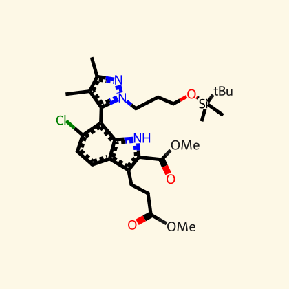 COC(=O)CCc1c(C(=O)OC)[nH]c2c(-c3c(C)c(C)nn3CCCO[Si](C)(C)C(C)(C)C)c(Cl)ccc12